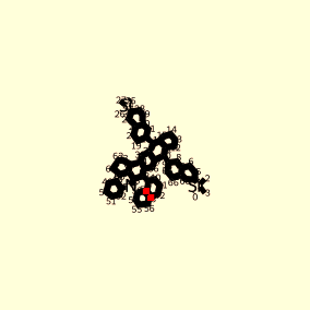 C[Si](C)(C)c1ccc2cc(-c3c4ccccc4c(-c4ccc5cc([Si](C)(C)C)ccc5c4)c4cc5c(cc34)c(-c3ccccc3)c(N(c3ccccc3)c3ccccc3)c3ccccc35)ccc2c1